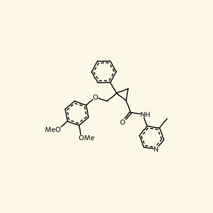 COc1ccc(OCC2(c3ccccc3)CC2C(=O)Nc2ccncc2C)cc1OC